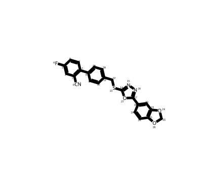 N#Cc1cc(F)ccc1-c1ccc(CSc2nnc(-c3ccc4c(c3)OCO4)o2)cc1